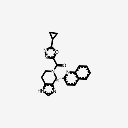 O=C(c1nnc(C2CC2)o1)N1CCc2[nH]cnc2[C@H]1c1ccc2ccccc2n1